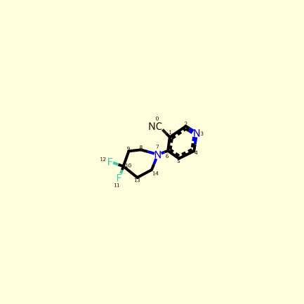 N#Cc1cnccc1N1CCC(F)(F)CC1